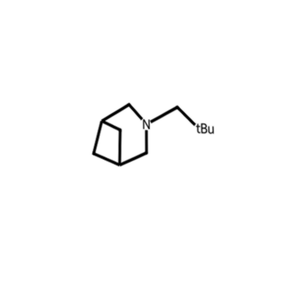 CC(C)(C)CN1CC2CC(C2)C1